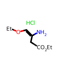 CCO/C=C(/N)CC(=O)OCC.Cl